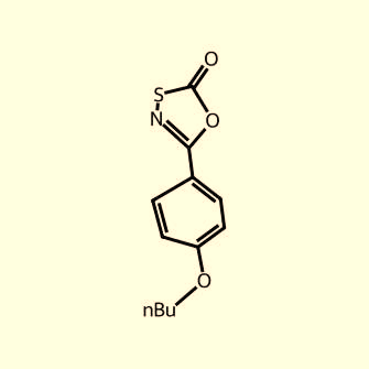 CCCCOc1ccc(-c2nsc(=O)o2)cc1